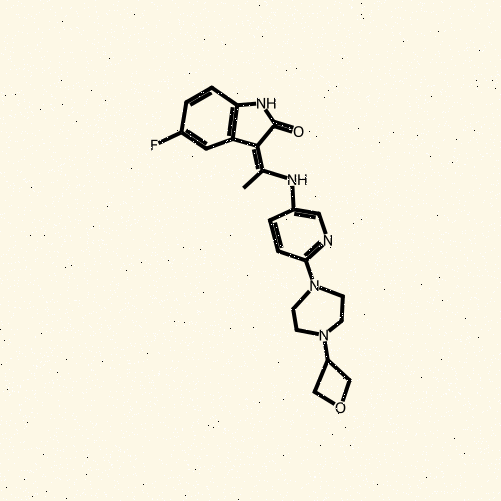 C/C(Nc1ccc(N2CCN(C3COC3)CC2)nc1)=C1/C(=O)Nc2ccc(F)cc21